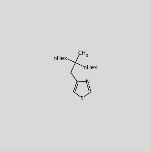 CCCCCCC(C)(CCCCCC)Cc1cscn1